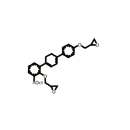 CCCCCCCCc1cccc(C2=CC=C(c3ccc(OCC4CO4)cc3)CC2)c1OCC1CO1